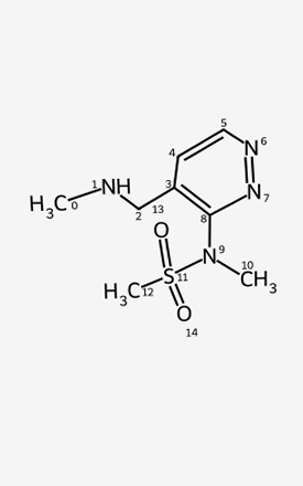 CNCc1ccnnc1N(C)S(C)(=O)=O